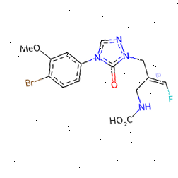 COc1cc(-n2cnn(C/C(=C/F)CNC(=O)O)c2=O)ccc1Br